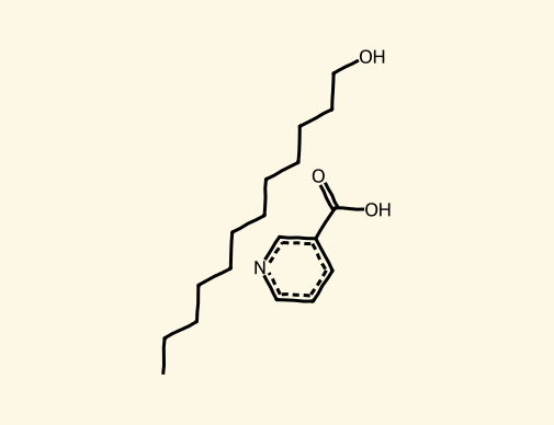 CCCCCCCCCCCCO.O=C(O)c1cccnc1